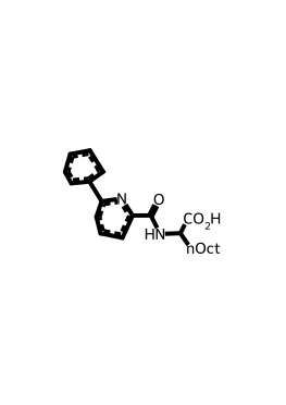 CCCCCCCCC(NC(=O)c1cccc(-c2ccccc2)n1)C(=O)O